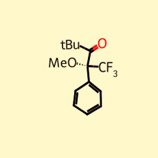 CO[C@@](C(=O)C(C)(C)C)(c1ccccc1)C(F)(F)F